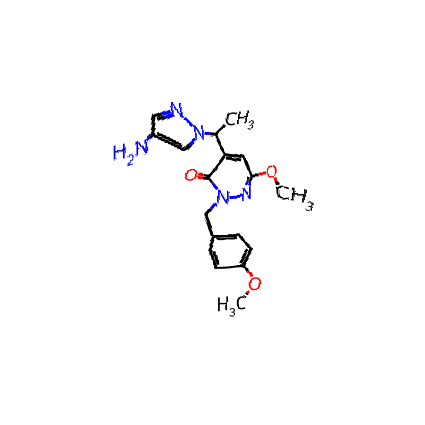 COc1ccc(Cn2nc(OC)cc(C(C)n3cc(N)cn3)c2=O)cc1